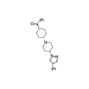 CC(C)c1cnn(C2CCN([C@H]3CC[C@H](C(=O)C(C)C)CC3)CC2)c1